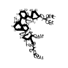 CCOC(COc1ccc(-c2cccc(-c3cccc4c3CC[C@@H]4Oc3ccc(CNCC(=O)OC(C)(C)C)c(OC)n3)c2C)cc1)OCC